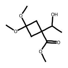 COC(=O)C1(C(C)O)CC(OC)(OC)C1